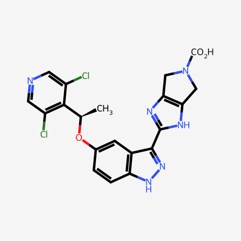 C[C@@H](Oc1ccc2[nH]nc(-c3nc4c([nH]3)CN(C(=O)O)C4)c2c1)c1c(Cl)cncc1Cl